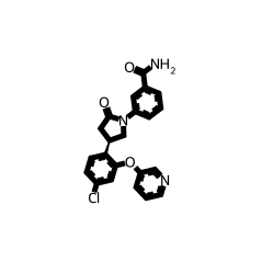 NC(=O)c1cccc(N2C[C@@H](c3ccc(Cl)cc3Oc3cccnc3)CC2=O)c1